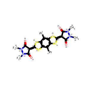 CC(C)c1c2c(c(C(C)C)c3c1SC(=C1C(=O)N(C(F)(F)F)N(C(F)(F)F)C1=O)S3)SC(=C1C(=O)N(C)N(C)C1=O)S2